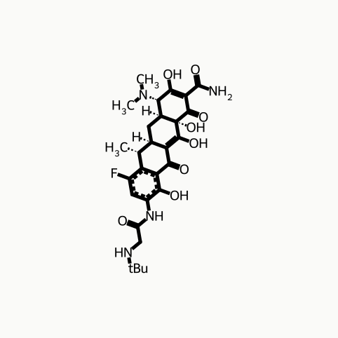 C[C@H]1c2c(F)cc(NC(=O)CNC(C)(C)C)c(O)c2C(=O)C2=C(O)[C@]3(O)C(=O)C(C(N)=O)=C(O)[C@@H](N(C)C)[C@@H]3C[C@@H]21